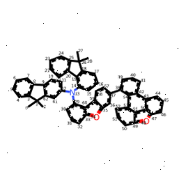 CC1(C)c2ccccc2-c2ccc(N(c3cccc4c3-c3ccccc3C4(C)C)c3cccc4oc5cc(-c6cccc7c8cccc9oc%10cccc(c67)c%10c98)ccc5c34)cc21